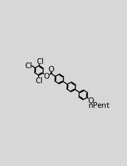 CCCCCOc1ccc(-c2ccc(-c3ccc(C(=O)Oc4cc(Cl)c(Cl)cc4Cl)cc3)cc2)cc1